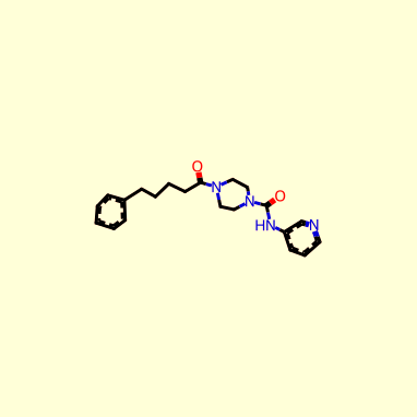 O=C(CCCCc1ccccc1)N1CCN(C(=O)Nc2cccnc2)CC1